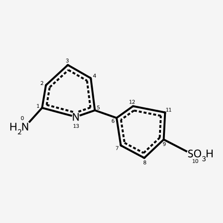 Nc1cccc(-c2ccc(S(=O)(=O)O)cc2)n1